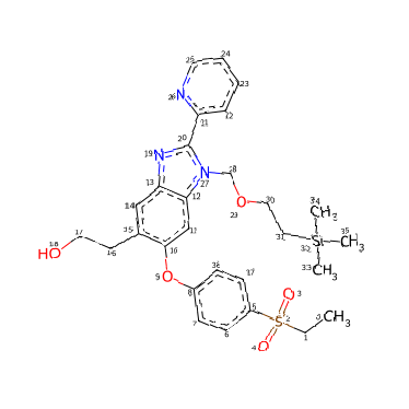 CCS(=O)(=O)c1ccc(Oc2cc3c(cc2CCO)nc(-c2ccccn2)n3COCC[Si](C)(C)C)cc1